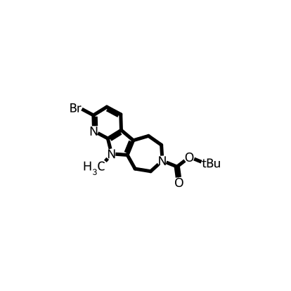 Cn1c2c(c3ccc(Br)nc31)CCN(C(=O)OC(C)(C)C)CC2